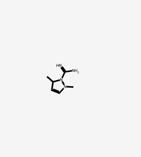 CC1C=CN(C)N1C(=N)N